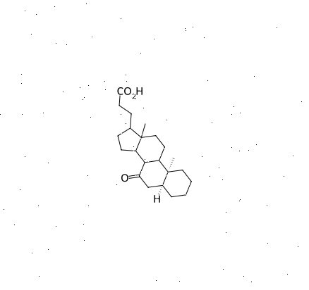 CC12CCC3C(C(=O)C[C@@H]4CCCC[C@]34C)C1CCC2CCC(=O)O